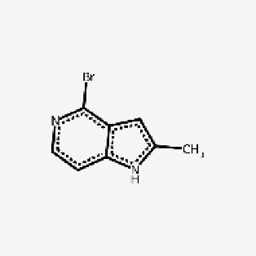 Cc1cc2c(Br)nccc2[nH]1